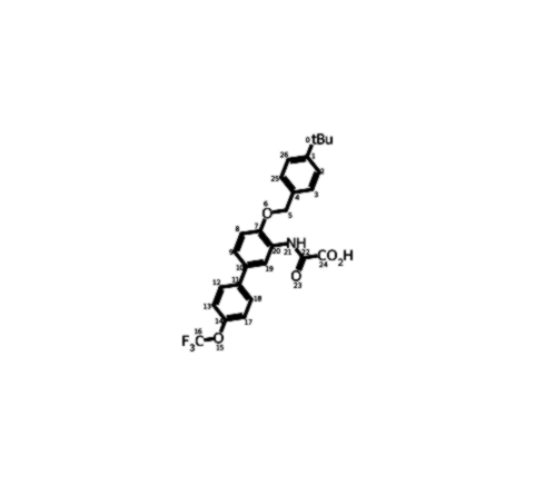 CC(C)(C)c1ccc(COc2ccc(-c3ccc(OC(F)(F)F)cc3)cc2NC(=O)C(=O)O)cc1